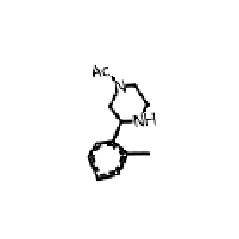 CC(=O)N1CCNC(c2ccccc2C)C1